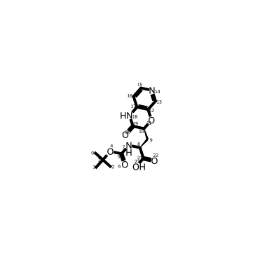 CC(C)(C)OC(=O)N[C@@H](C[C@@H]1Oc2cnccc2NC1=O)C(=O)O